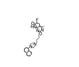 Cc1nc(OCCCCN2CCN(c3cccc4ccccc34)CC2)nc2[nH]c(=O)c(F)cc12